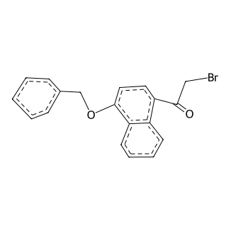 O=C(CBr)c1ccc(OCc2ccccc2)c2ccccc12